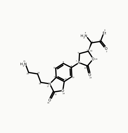 CCC(=O)C(N)[C@@H]1CN(c2ccc3c(c2)oc(=O)n3CCCN)C(=O)O1